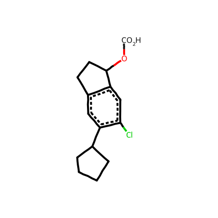 O=C(O)OC1CCc2cc(C3CCCC3)c(Cl)cc21